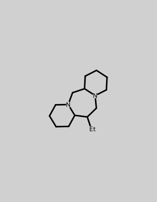 CCC1CN2CCCCC2CN2CCCCC12